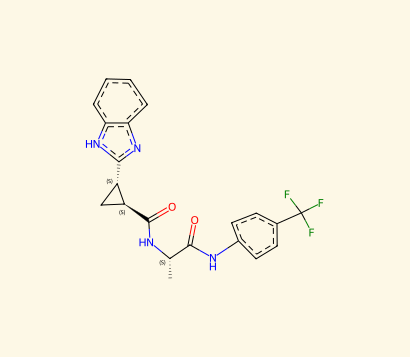 C[C@H](NC(=O)[C@H]1C[C@@H]1c1nc2ccccc2[nH]1)C(=O)Nc1ccc(C(F)(F)F)cc1